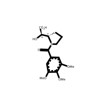 COc1cc(C(=O)N2CCC[C@H]2[C@@H](O)C(=O)O)cc(OC)c1OC